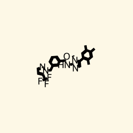 Cc1cc(C)c(-c2cnc(NC(=O)c3cccc(Cn4nccc4C(F)(F)F)c3)n2C)cc1C